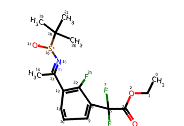 CCOC(=O)C(F)(F)c1cccc(/C(C)=N/[S+]([O-])C(C)(C)C)c1F